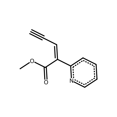 C#CC=C(C(=O)OC)c1ccccn1